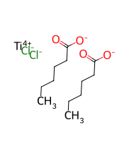 CCCCCC(=O)[O-].CCCCCC(=O)[O-].[Cl-].[Cl-].[Ti+4]